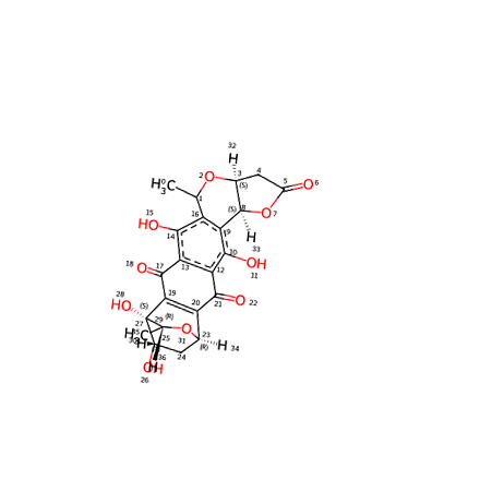 CC1O[C@H]2CC(=O)O[C@H]2c2c(O)c3c(c(O)c21)C(=O)C1=C(C3=O)[C@H]2C[C@H](O)[C@]1(O)[C@@H](C)O2